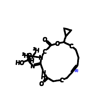 [2H]C([2H])([2H])N1CC(=O)OC(C2CC2)CCC/C=C/CCCC(=O)NC1=NC(=O)O